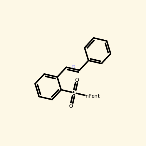 CCCCCS(=O)(=O)c1ccccc1/C=C/c1ccccc1